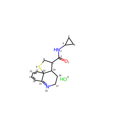 Cl.O=C(NC1CC1)C1CSC23C=CC=CC2=NCCC13